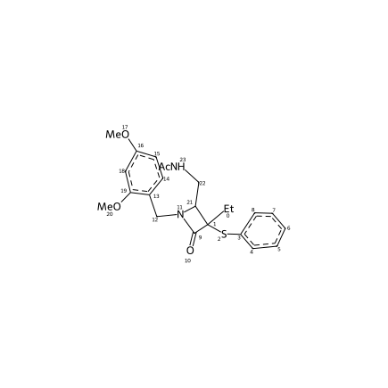 CCC1(Sc2ccccc2)C(=O)N(Cc2ccc(OC)cc2OC)C1CNC(C)=O